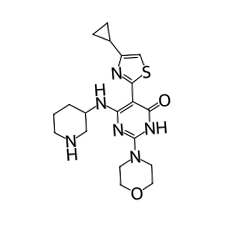 O=c1[nH]c(N2CCOCC2)nc(NC2CCCNC2)c1-c1nc(C2CC2)cs1